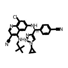 CC(C)(C)CNc1c(C#N)cnc2c(Cl)cc(N[C@@H](c3ccc(C#N)cc3)c3cn(C4CC4)nn3)cc12